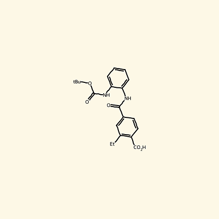 CCc1cc(C(=O)Nc2ccccc2NC(=O)OC(C)(C)C)ccc1C(=O)O